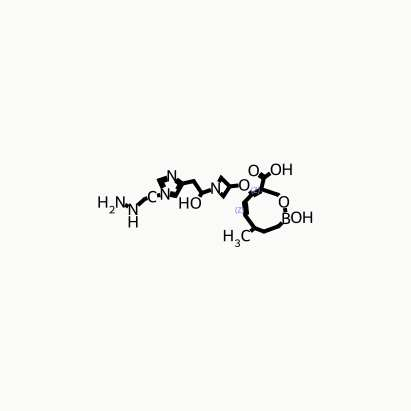 CC1/C=C\C(OC2CN(C(O)Cc3cn(CCNN)cn3)C2)=C(\C(=O)O)COB(O)CC1